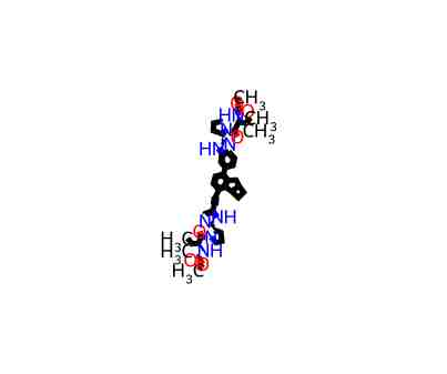 COC(=O)N[C@H](C(=O)N1CCC[C@H]1c1ncc(C#Cc2ccc(-c3ccc4nc([C@@H]5CCCN5C(=O)[C@@H](NC(=O)OC)C(C)C)[nH]c4c3)c3c2C2CCC2C3)[nH]1)C(C)C